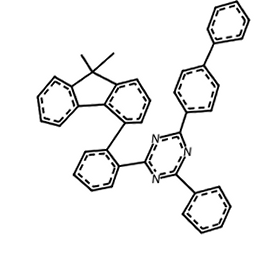 CC1(C)c2ccccc2-c2c(-c3ccccc3-c3nc(-c4ccccc4)nc(-c4ccc(-c5ccccc5)cc4)n3)cccc21